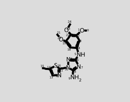 COc1cc(Nc2nc(N)n(-c3ncc(C)s3)n2)cc(OC)c1OC